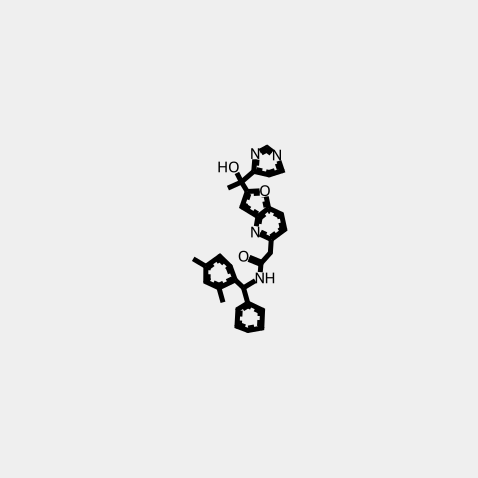 Cc1ccc(C(NC(=O)Cc2ccc3oc(C(C)(O)c4ccncn4)cc3n2)c2ccccc2)c(C)c1